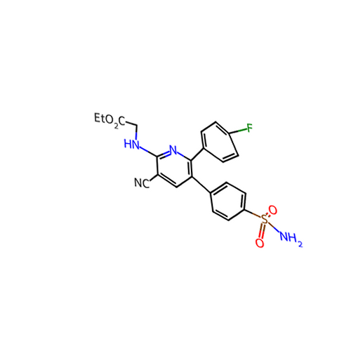 CCOC(=O)CNc1nc(-c2ccc(F)cc2)c(-c2ccc(S(N)(=O)=O)cc2)cc1C#N